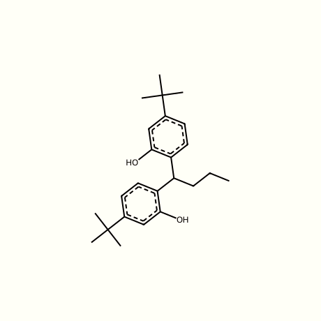 CCCC(c1ccc(C(C)(C)C)cc1O)c1ccc(C(C)(C)C)cc1O